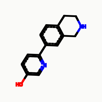 Oc1ccc(-c2ccc3c(c2)CNCC3)nc1